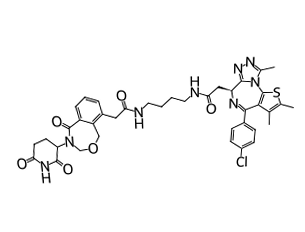 Cc1sc2c(c1C)C(c1ccc(Cl)cc1)=N[C@@H](CC(=O)NCCCCNC(=O)Cc1cccc3c1COCN(C1CCC(=O)NC1=O)C3=O)c1nnc(C)n1-2